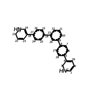 C1=CNCC(c2ccc(-c3cccc(-c4ccc(C5=CNCC=C5)cc4)c3)cc2)=C1